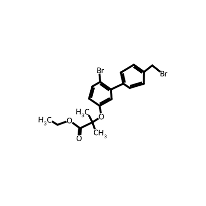 CCOC(=O)C(C)(C)Oc1ccc(Br)c(-c2ccc(CBr)cc2)c1